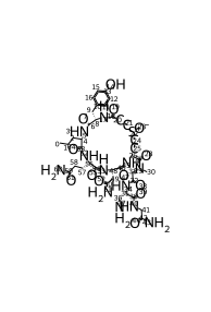 CC[C@H](C)[C@@H]1NC(=O)[C@H](Cc2ccc(O)cc2)NC(=O)CC[S+]([O-])CC[C@@H](C(=O)N(C)CC(=O)N[C@@H](CN)C(=O)NCC(N)=O)NC(=O)[C@H](CC(N)=O)NC(=O)[C@H](CCC(N)=O)NC1=O